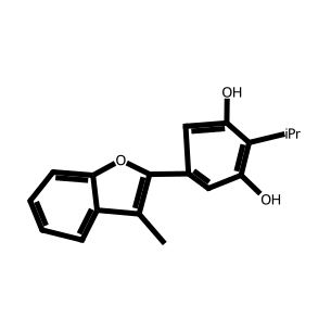 Cc1c(-c2cc(O)c(C(C)C)c(O)c2)oc2ccccc12